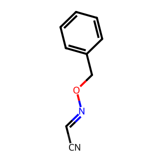 N#C/C=N/OCc1ccccc1